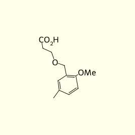 COc1ccc(C)cc1COCCC(=O)O